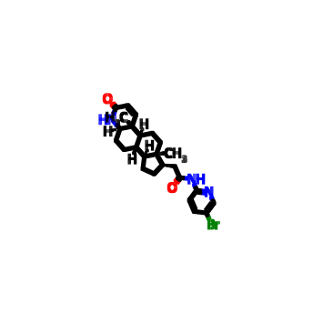 C[C@]12C=CC(=O)N[C@@H]1CC[C@@H]1[C@@H]2CC[C@]2(C)[C@@H](CC(=O)Nc3ccc(Br)cn3)CC[C@@H]12